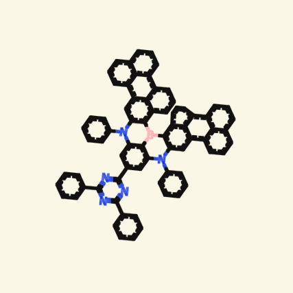 c1ccc(-c2nc(-c3ccccc3)nc(-c3cc4c5c(c3)N(c3ccccc3)c3cc6c7cccc8cccc(c9cccc(c3B5c3c(cc5c%10cccc%11cccc(c%12cccc3c%125)c%11%10)N4c3ccccc3)c96)c87)n2)cc1